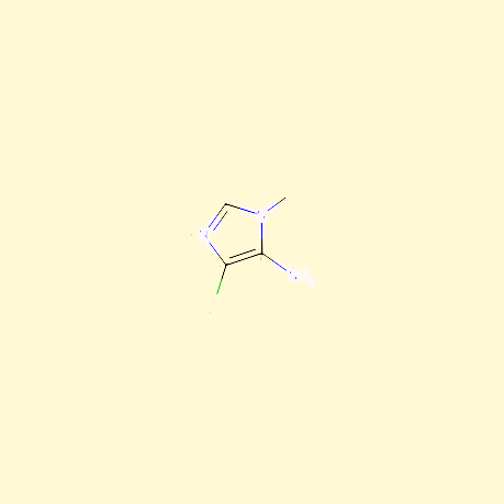 Cn1cnc(Cl)c1N